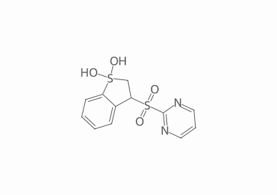 O=S(=O)(c1ncccn1)C1CS(O)(O)c2ccccc21